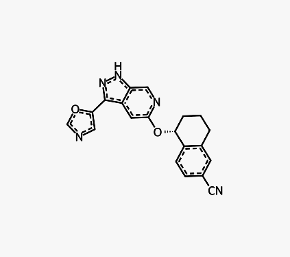 N#Cc1ccc2c(c1)CCC[C@H]2Oc1cc2c(-c3cnco3)n[nH]c2cn1